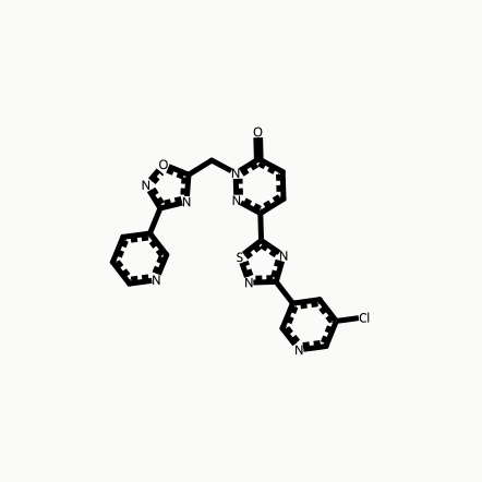 O=c1ccc(-c2nc(-c3cncc(Cl)c3)ns2)nn1Cc1nc(-c2cccnc2)no1